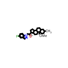 COCC12CCC(C)CC1CCC1C3CCC(C(=O)Cn4ncc5cc(F)ccc54)C3(C)CCC12